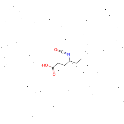 CCC(CCC(=O)O)N=C=O